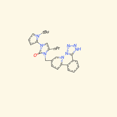 CCCc1cn(-c2cccn2C(C)(C)C)c(=O)n1Cc1ccc(-c2ccccc2-c2nnn[nH]2)nc1